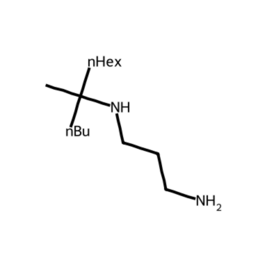 CCCCCCC(C)(CCCC)NCCCN